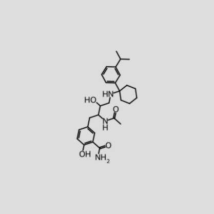 CC(=O)NC(Cc1ccc(O)c(C(N)=O)c1)C(O)CNC1(c2cccc(C(C)C)c2)CCCCC1